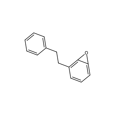 c1ccc(CCc2cccc3c2O3)cc1